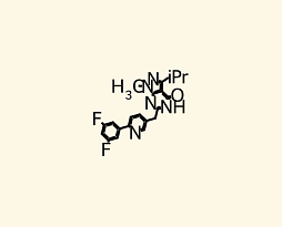 CC(C)c1nn(C)c2nc(Cc3ccc(-c4cc(F)cc(F)c4)nc3)[nH]c(=O)c12